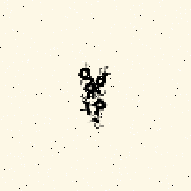 C[C@@H]1CN([C@@H](C)CO)C(=O)c2cccc(NC(=O)Cc3ccc(C(F)(F)F)cc3)c2O[C@@H]1CN(C)Cc1ccc(Cc2cc(F)ccc2F)cc1